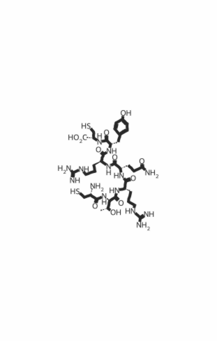 C[C@@H](O)[C@H](NC(=O)[C@@H](N)CS)C(=O)N[C@@H](CCCNC(=N)N)C(=O)N[C@@H](CCC(N)=O)C(=O)N[C@@H](CCCNC(=N)N)C(=O)N[C@@H](Cc1ccc(O)cc1)C(=O)N[C@@H](CS)C(=O)O